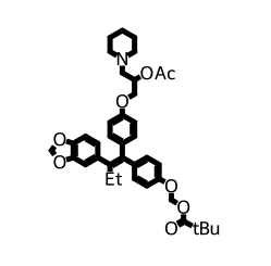 CCC(=C(c1ccc(OCOC(=O)C(C)(C)C)cc1)c1ccc(OCC(CN2CCCCC2)OC(C)=O)cc1)c1ccc2c(c1)OCO2